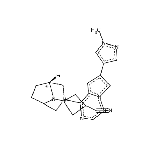 Cn1cc(-c2cc3c(N4CC5CC[C@H](C4)N5C4CC(C#N)C4)ncnn3c2)cn1